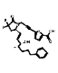 C[C@@H](CCCc1ccccc1)[C@@H](O)C=C[C@H]1CC(F)(F)C(=O)N1CC#Cc1ccc(C(=O)O)s1